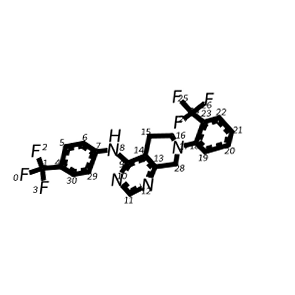 FC(F)(F)c1ccc(Nc2ncnc3c2CCN(c2ccccc2C(F)(F)F)C3)cc1